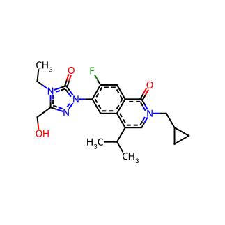 CCn1c(CO)nn(-c2cc3c(C(C)C)cn(CC4CC4)c(=O)c3cc2F)c1=O